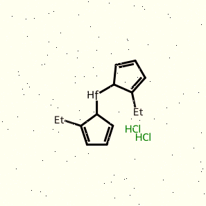 CCC1=CC=C[CH]1[Hf][CH]1C=CC=C1CC.Cl.Cl